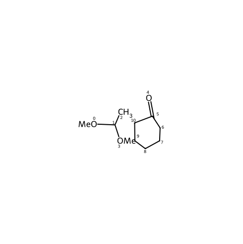 COC(C)OC.O=C1CCCCC1